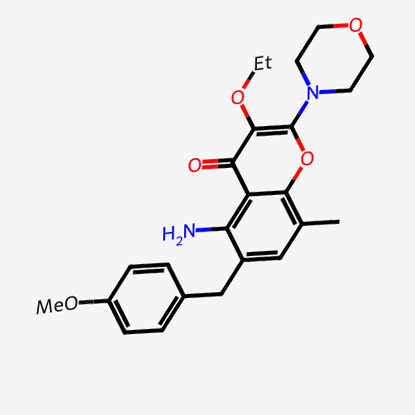 CCOc1c(N2CCOCC2)oc2c(C)cc(Cc3ccc(OC)cc3)c(N)c2c1=O